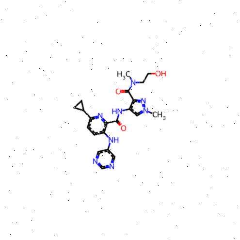 CN(CCO)C(=O)c1nn(C)cc1NC(=O)c1nc(C2CC2)ccc1Nc1cncnc1